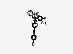 Cc1cc(C(O)(CN(N)/C=N\N)C(F)(F)c2ccc(C#Cc3ccc(C#N)cc3)cn2)c(F)cc1F